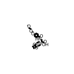 COCCOCOc1ccc(C(=O)NCC(C(=O)O)N2CCN(S(=O)(=O)C(C)C)CC2)cc1